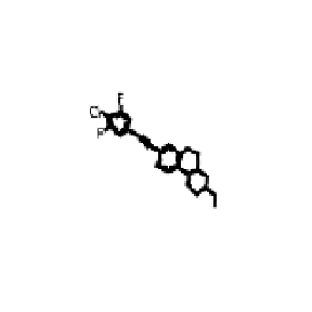 CCC1CCC2c3ccc(C#Cc4cc(F)c(Cl)c(F)c4)cc3CCC2C1